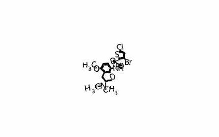 COc1ccc(NS(=O)(=O)c2sc(Cl)cc2Br)c2c1C[C@@H](N(C)C)CO2